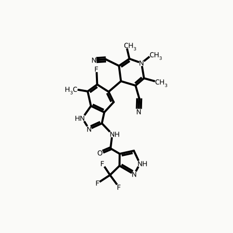 CC1=C(C#N)C(c2cc3c(NC(=O)c4c[nH]nc4C(F)(F)F)n[nH]c3c(C)c2F)C(C#N)=C(C)N1C